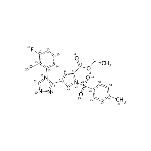 CCOC(=O)c1cc(-c2nncn2-c2cccc(F)c2F)cn1S(=O)(=O)c1ccc(C)cc1